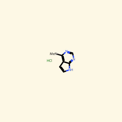 CNc1ncnc2[nH]ccc12.Cl